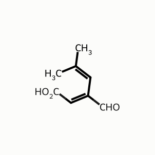 CC(C)=CC(C=O)=CC(=O)O